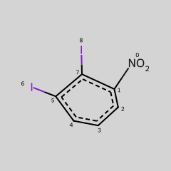 O=[N+]([O-])c1cccc(I)c1I